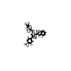 COc1ccc(-c2cn(CC(=O)OC(C)(C)C)c([C@@H](N)Cc3ccccc3)n2)cc1